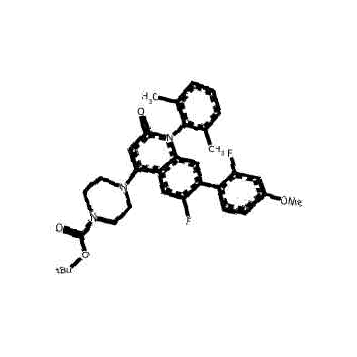 COc1ccc(-c2cc3c(cc2F)c(N2CCN(C(=O)OC(C)(C)C)CC2)cc(=O)n3-c2c(C)cccc2C)c(F)c1